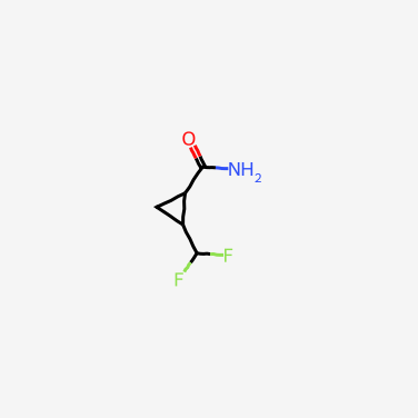 NC(=O)C1CC1C(F)F